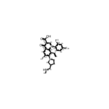 C=Cc1c(N2CCC(CNC)C2)c(F)cc2c(=O)c(C(=O)O)cn(-c3ccc(F)cc3F)c12